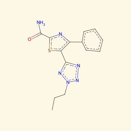 CCCn1nnc(-c2sc(C(N)=O)nc2-c2ccccc2)n1